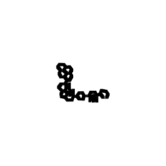 c1ccc(-c2ccc(-c3ccc(-c4ccc5ccc6ccc(-c7ccc8ccc9cccc%10ccc7c8c9%10)nc6c5n4)cc3)nn2)cc1